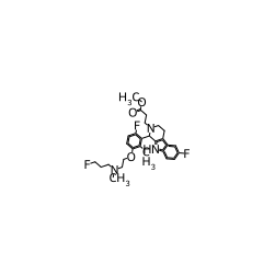 COC(=O)CCN1CCc2c([nH]c3ccc(F)cc23)C1c1c(F)ccc(OCCN(C)CCCF)c1C